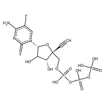 C#C[C@]1(COP(=O)(O)OP(=O)(O)OP(=O)(O)O)O[C@@H](n2cc(F)c(N)nc2=S)C(O)[C@H]1O